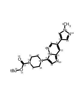 Cn1cc(-c2cnn3c(N4CCN(C(=O)OC(C)(C)C)CC4)cnc3c2)cn1